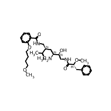 COCCCCOc1ccccc1C(=O)NC[C@@H](C[C@H](N)[C@@H](O)CNC(=O)[C@@H](Cc1ccccc1)OC)C(C)C